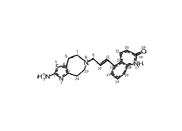 Nc1nc2c(s1)CCN(CC=Cc1cccc3[nH]c(=O)ccc13)CC2